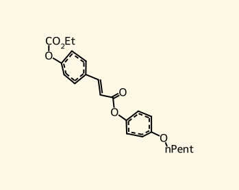 CCCCCOc1ccc(OC(=O)/C=C/c2ccc(OC(=O)OCC)cc2)cc1